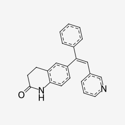 O=C1CCc2cc(/C(=C\c3cccnc3)c3ccccc3)ccc2N1